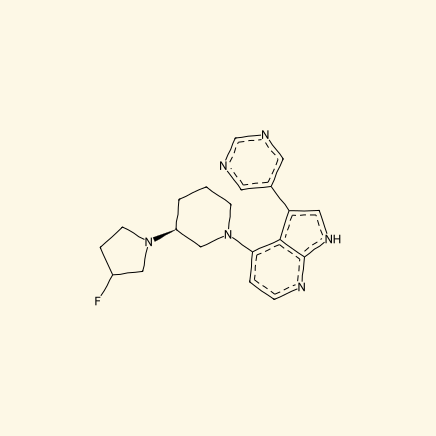 FC1CCN([C@H]2CCCN(c3ccnc4[nH]cc(-c5cncnc5)c34)C2)C1